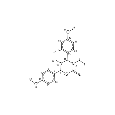 CCN1C(=S)SC(c2ccc(OC)cc2)N(CC)C1c1ccc(OC)cc1